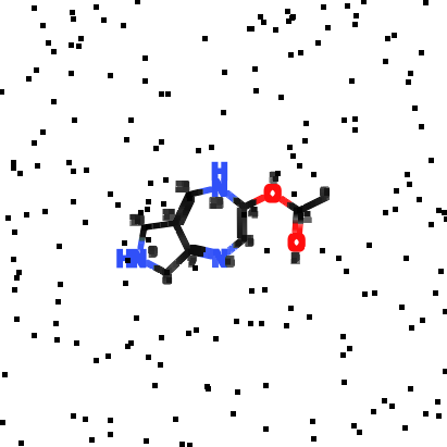 CC(=O)OC1=CN=C2CNCC2=CN1